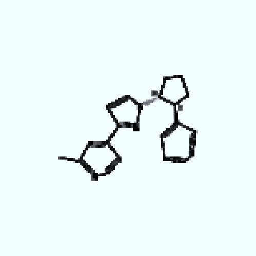 Cc1cc(-c2ccn([C@@H]3CCC[C@H]3c3ccccc3)n2)ccn1